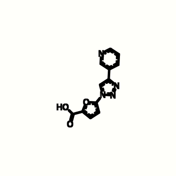 O=C(O)c1ccc(-n2cc(-c3cccnc3)nn2)o1